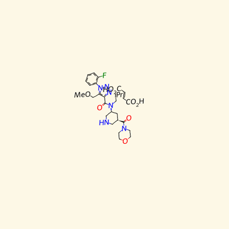 COCc1c(C(=O)N(CC(C)C)[C@@H]2CNC[C@H](C(=O)N3CCOCC3)C2)nnn1-c1ccccc1F.O=C(O)C=CC(=O)O